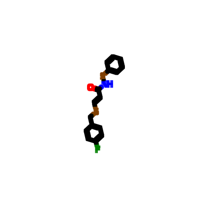 O=C(/C=C/SCc1ccc(F)cc1)NSc1ccccc1